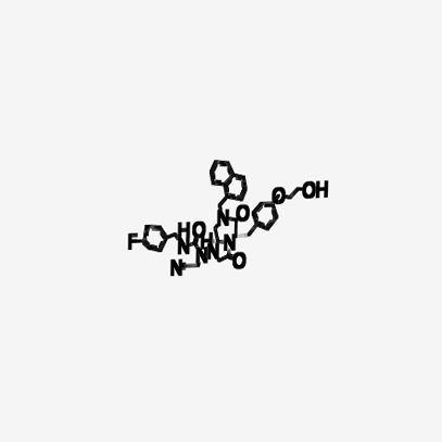 N#CCN(C(=O)NCc1ccc(F)cc1)N1CC(=O)N2[C@@H](Cc3ccc(OCCO)cc3)C(=O)N(Cc3cccc4ccccc34)C[C@@H]21